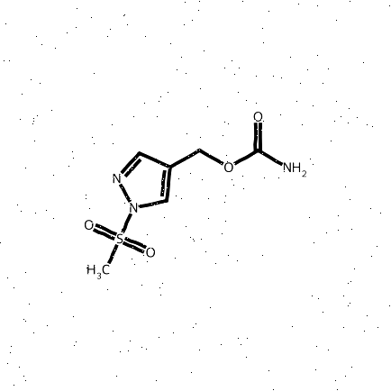 CS(=O)(=O)n1cc(COC(N)=O)cn1